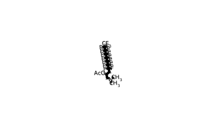 CC(=O)OC(CN(C)C)CC(F)(F)C(F)(F)C(F)(F)C(F)(F)C(F)(F)C(F)(F)C(F)(F)C(F)(F)F